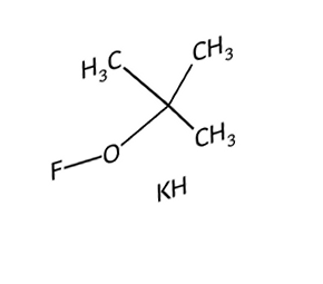 CC(C)(C)OF.[KH]